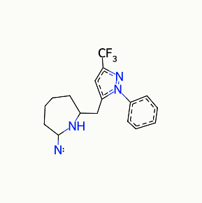 [N]C1CCCCC(Cc2cc(C(F)(F)F)nn2-c2ccccc2)N1